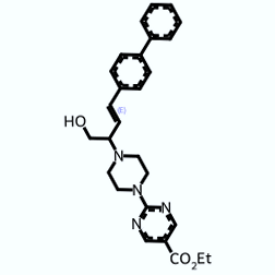 CCOC(=O)c1cnc(N2CCN(C(/C=C/c3ccc(-c4ccccc4)cc3)CO)CC2)nc1